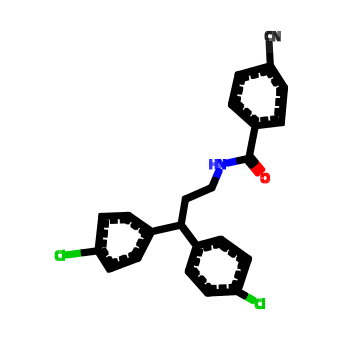 N#Cc1ccc(C(=O)NCCC(c2ccc(Cl)cc2)c2ccc(Cl)cc2)cc1